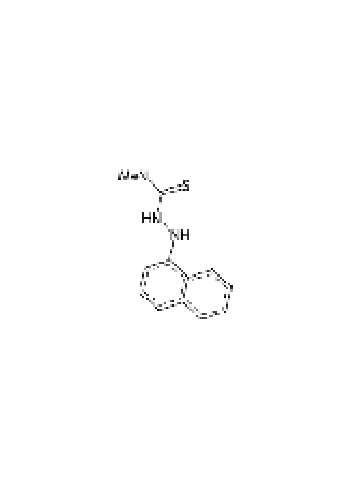 CNC(=S)NNc1cccc2ccccc12